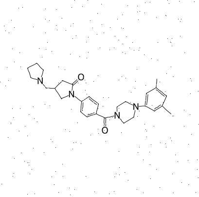 Cc1cc(C)cc(N2CCN(C(=O)c3ccc(N4CC(CN5CCCC5)CC4=O)cc3)CC2)c1